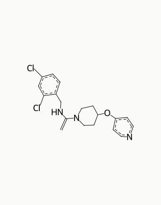 C=C(NCc1ccc(Cl)cc1Cl)N1CCC(Oc2ccncc2)CC1